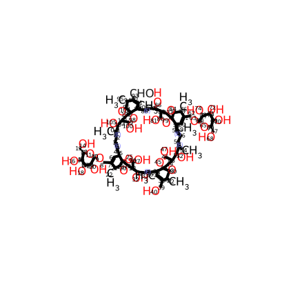 C/C1=C\C=C\C2C=C(CO[C@H]3O[C@H](CO)[C@H](O)[C@H](O)[C@H]3O)C(C)CC23OC(O)C(C3=O)C(O)/C=C/C2(C)C=C(CO)C(C)CC23OC(O)C(C3=O)C(O)/C(C)=C/C=C/C2(C)C=C(CO[C@H]3O[C@H](CO)[C@H](O)[C@H](O)[C@H]3O)C(C)CC23OC(O)C(C3=O)C(O)/C=C/C2(C)C=C(C=O)C(C)CC23OC(O)C(C3=O)C1O